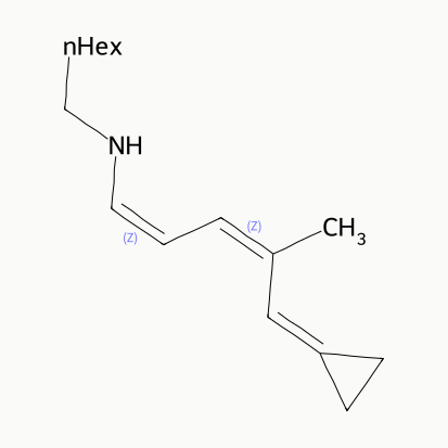 CCCCCCCN/C=C\C=C(\C)C=C1CC1